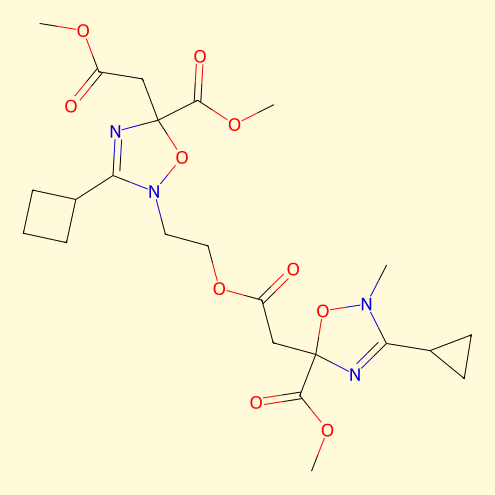 COC(=O)CC1(C(=O)OC)N=C(C2CCC2)N(CCOC(=O)CC2(C(=O)OC)N=C(C3CC3)N(C)O2)O1